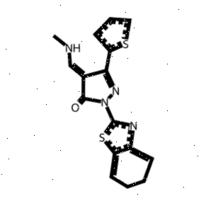 CN/C=C1/C(=O)N(c2nc3c(s2)=CCCC=3)N=C1c1cccs1